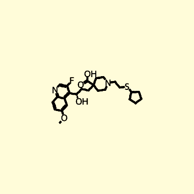 COc1ccc2ncc(F)c([C@H](O)CCC3(C(=O)O)CCN(CCSC4CCCC4)CC3)c2c1